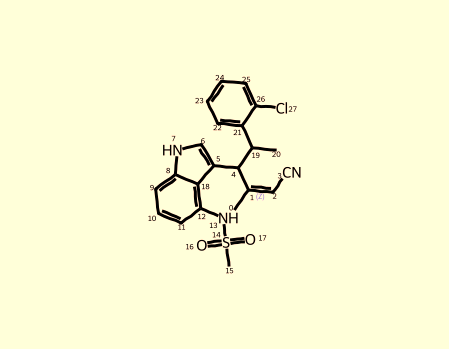 C/C(=C/C#N)C(c1c[nH]c2cccc(NS(C)(=O)=O)c12)C(C)c1ccccc1Cl